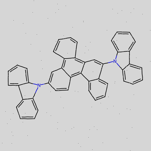 c1ccc2c(c1)c(-n1c3ccccc3c3ccccc31)cc1c3ccccc3c3cc(-n4c5ccccc5c5ccccc54)ccc3c21